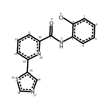 O=C(Nc1ccccc1Cl)c1cccc(-c2cncs2)n1